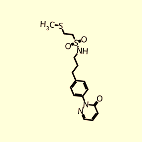 CSCCS(=O)(=O)NCCCc1ccc(-n2ncccc2=O)cc1